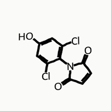 O=C1C=CC(=O)N1c1c(Cl)cc(O)cc1Cl